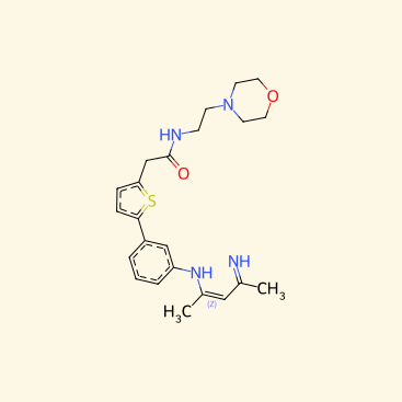 CC(=N)/C=C(/C)Nc1cccc(-c2ccc(CC(=O)NCCN3CCOCC3)s2)c1